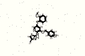 COc1ccccc1Sc1cnc(Nc2nc(C)cs2)c(OCc2ccccc2)c1.Cl